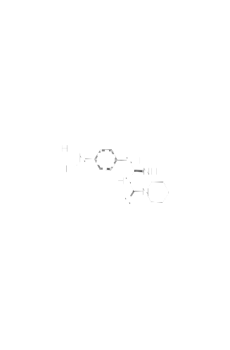 CN(C)c1ccc(NC(=N)NC(=N)N2CCCCC2)cc1